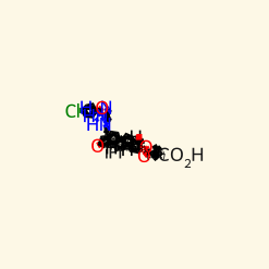 CC(C)C1=C2[C@H]3CC[C@@H]4[C@@]5(C)CC[C@H](OC(=O)[C@H]6C[C@@H](C(=O)O)C6(C)C)C(C)(C)[C@@H]5CC[C@@]4(C)[C@]3(C)CC[C@@]2(CCNCC(CN)NC(=O)c2ccc(Cl)cc2)CC1=O